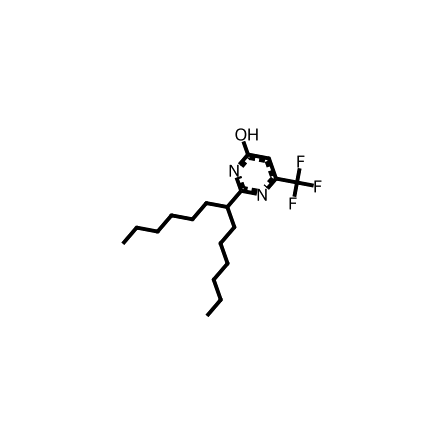 CCCCCCC(CCCCCC)c1nc(O)cc(C(F)(F)F)n1